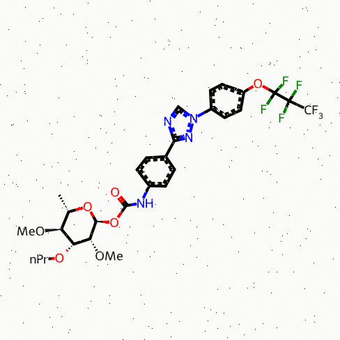 CCCO[C@@H]1[C@@H](OC)[C@H](C)O[C@@H](OC(=O)Nc2ccc(-c3ncn(-c4ccc(OC(F)(F)C(F)(F)C(F)(F)F)cc4)n3)cc2)[C@@H]1OC